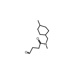 CC1CCC(CN(C)C(=O)CCC=O)CC1